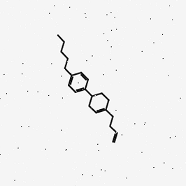 C=CCCC1=CCC(c2ccc(CCCCC)cc2)CC1